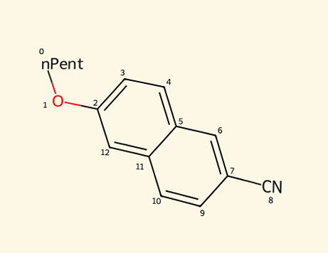 CCCCCOc1ccc2cc(C#N)ccc2c1